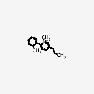 CCCc1ccc(-c2ccccc2C)[n+](C)c1